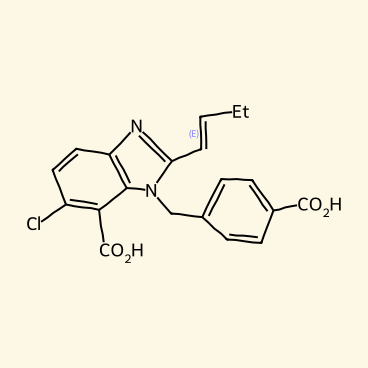 CC/C=C/c1nc2ccc(Cl)c(C(=O)O)c2n1Cc1ccc(C(=O)O)cc1